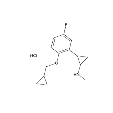 CNC1CC1c1cc(F)ccc1OCC1CC1.Cl